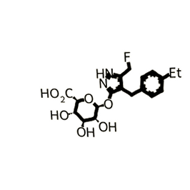 CCc1ccc(Cc2c(O[C@@H]3O[C@H](C(=O)O)[C@@H](O)[C@H](O)[C@H]3O)n[nH]c2CF)cc1